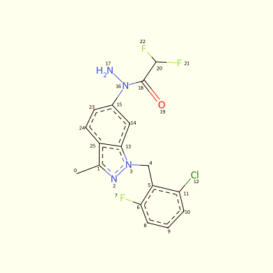 Cc1nn(Cc2c(F)cccc2Cl)c2cc(N(N)C(=O)C(F)F)ccc12